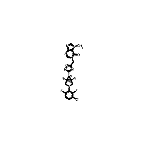 Cn1cnc2ncn(Cc3nc([C@H]4[C@@H]5CN(c6c(F)ccc(Cl)c6F)C[C@@H]54)no3)c(=O)c21